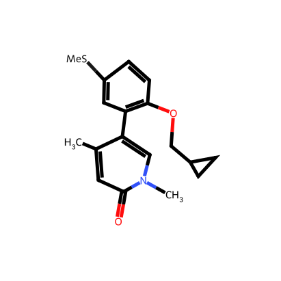 CSc1ccc(OCC2CC2)c(-c2cn(C)c(=O)cc2C)c1